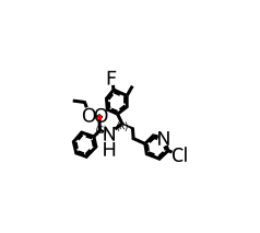 CCOC(=O)[C@@H](N[C@H](CCc1ccc(Cl)nc1)c1ccc(F)c(C)c1)c1ccccc1